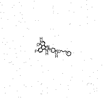 O=c1[nH]ccc2c3nc(N4CCC(O)(COCCCN5CCCCC5)CC4)[nH]c3c3ccc(F)cc3c12